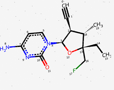 C#C[C@@H]1[C@H](n2ccc(N)nc2=O)O[C@@](CC)(CF)[C@H]1C